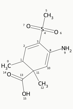 CC1C=C(S(C)(=O)=O)C(N)=CC1(C)C(=O)O